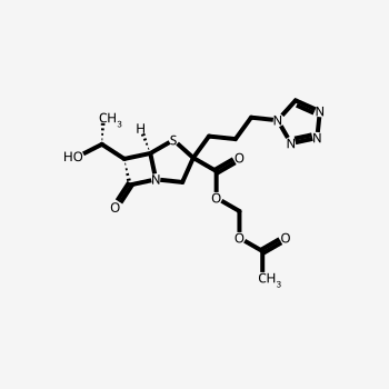 CC(=O)OCOC(=O)C1(CCCn2cnnn2)CN2C(=O)[C@H]([C@@H](C)O)[C@H]2S1